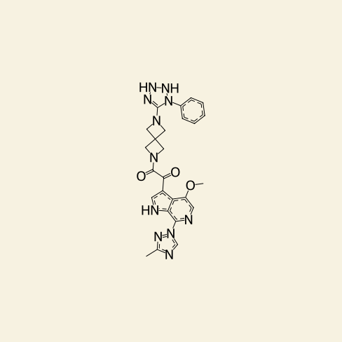 COc1cnc(-n2cnc(C)n2)c2[nH]cc(C(=O)C(=O)N3CC4(C3)CN(C3=NNNN3c3ccccc3)C4)c12